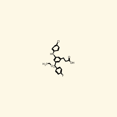 CCO[C@@H](c1ccc(F)cc1)c1cc(CCC(=O)O)cc(Nc2ccc(Cl)cc2)c1